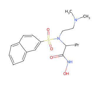 CC(C)C(C(=O)NO)N(CCN(C)C)S(=O)(=O)c1ccc2ccccc2c1